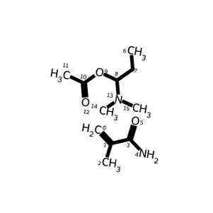 C=C(C)C(N)=O.CCC(OC(C)=O)N(C)C